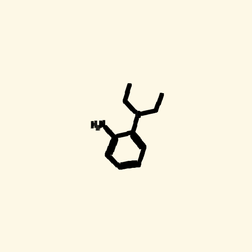 CCB(CC)c1ccccc1N